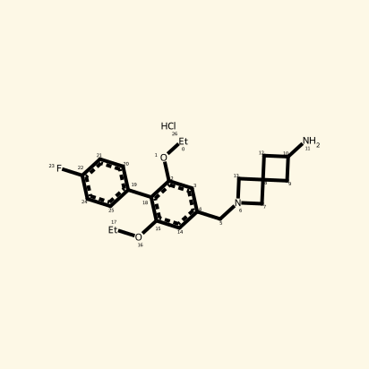 CCOc1cc(CN2CC3(CC(N)C3)C2)cc(OCC)c1-c1ccc(F)cc1.Cl